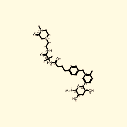 CS[C@H]1O[C@@H](c2ccc(C)c(Cc3ccc(CCCC(=O)NC(C)(C)C(=O)NCCN4CCN(C)C(=O)C4)cc3)c2)C(O)CC1O